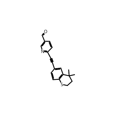 CC1(C)CCSc2ccc(C#Cc3ccc(C=O)cn3)cc21